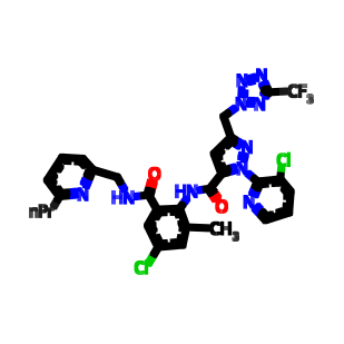 CCCc1cccc(CNC(=O)c2cc(Cl)cc(C)c2NC(=O)c2cc(Cn3nnc(C(F)(F)F)n3)nn2-c2ncccc2Cl)n1